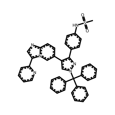 CS(=O)(=O)Nc1ccc(-c2nn(C(c3ccccc3)(c3ccccc3)c3ccccc3)cc2-c2ccc3ncc(-c4ccccn4)n3c2)cc1